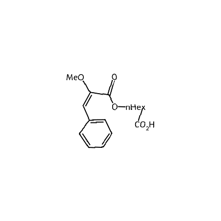 CC(=O)O.CCCCCCOC(=O)C(=Cc1ccccc1)OC